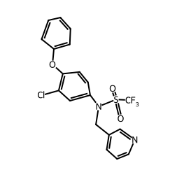 O=S(=O)(N(Cc1cccnc1)c1ccc(Oc2ccccc2)c(Cl)c1)C(F)(F)F